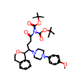 COc1ccc(N2CCN(C(CCC(=O)N(C(=O)OC(C)(C)C)C(=O)OC(C)(C)C)C3OCCc4ccccc43)CC2)cc1